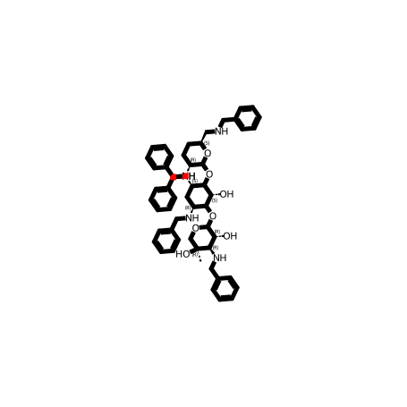 C[C@]1(O)COC(OC2[C@@H](O)C(OC3O[C@H](CNCc4ccccc4)CC[C@H]3NCc3ccccc3)[C@@H](NCc3ccccc3)C[C@H]2NCc2ccccc2)[C@H](O)[C@H]1NCc1ccccc1